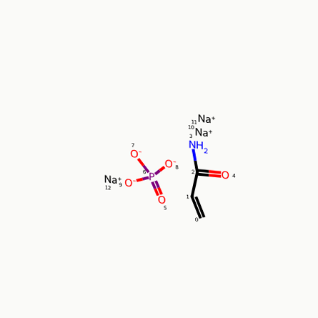 C=CC(N)=O.O=P([O-])([O-])[O-].[Na+].[Na+].[Na+]